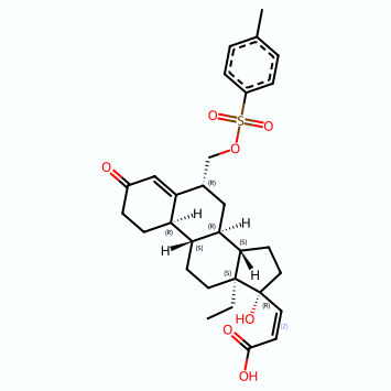 CC[C@]12CC[C@H]3[C@@H](C[C@@H](COS(=O)(=O)c4ccc(C)cc4)C4=CC(=O)CC[C@@H]43)[C@@H]1CC[C@@]2(O)/C=C\C(=O)O